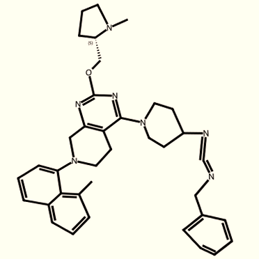 Cc1cccc2cccc(N3CCc4c(nc(OC[C@@H]5CCCN5C)nc4N4CCC(N=C=NCc5ccccc5)CC4)C3)c12